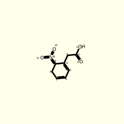 O=C(O)CC1=[C]C=CCC1=S(=O)=O